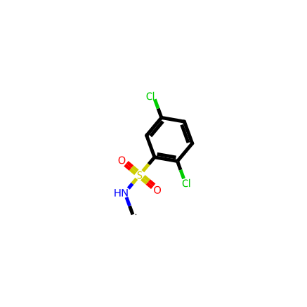 [CH2]NS(=O)(=O)c1cc(Cl)ccc1Cl